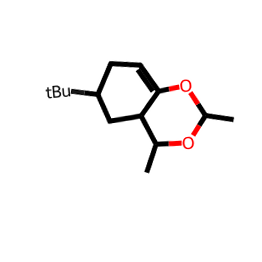 CC1OC2=CCC(C(C)(C)C)CC2C(C)O1